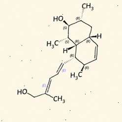 C/C(=C\C=C\[C@@H]1[C@@H]2[C@H](C)[C@@H](O)[C@H](C)C[C@@H]2C=C[C@H]1C)CO